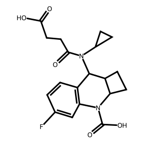 O=C(O)CCC(=O)N(C1CC1)C1c2ccc(F)cc2N(C(=O)O)C2CCC21